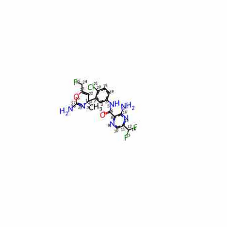 C[C@@]1(c2cc(NC(=O)c3ncc(C(F)F)nc3N)ccc2Cl)C=C(CF)OC(N)=N1